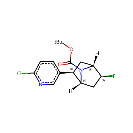 CC(C)(C)OC(=O)N1[C@@H]2C[C@H](F)[C@H]1C[C@@H]2c1ccc(Cl)nc1